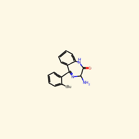 CC(C)(C)c1ccccc1C1=NC(N)C(=O)Nc2ccccc21